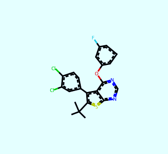 CC(C)(C)c1sc2ncnc(Oc3cccc(F)c3)c2c1-c1ccc(Cl)c(Cl)c1